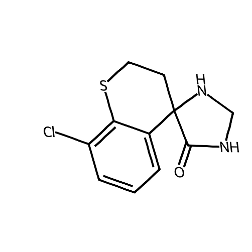 O=C1NCNC12CCSc1c(Cl)cccc12